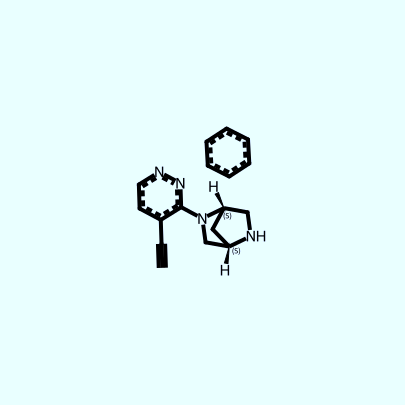 C#Cc1ccnnc1N1C[C@@H]2C[C@H]1CN2.c1ccccc1